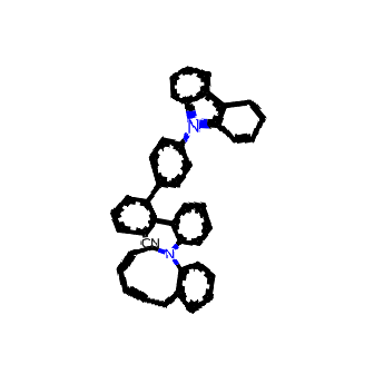 N#Cc1cccc(-c2ccc(-n3c4c(c5ccccc53)CCC=C4)cc2)c1-c1ccccc1N1C/C=C\C=C/Cc2ccccc21